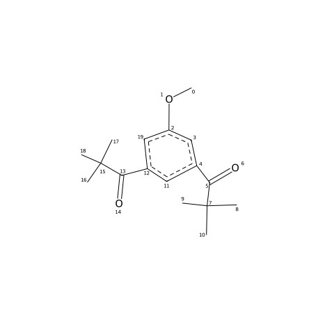 COc1cc(C(=O)C(C)(C)C)cc(C(=O)C(C)(C)C)c1